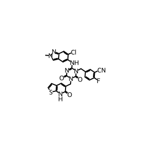 Cn1cc2cc(Nc3nc(=O)n(Cc4cc5ccsc5[nH]c4=O)c(=O)n3Cc3ccc(F)c(C#N)c3)c(Cl)cc2n1